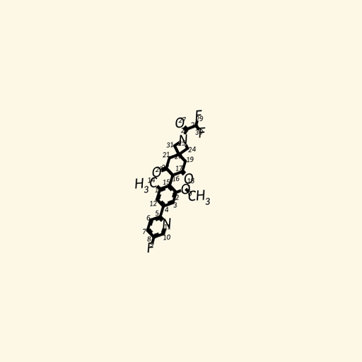 COc1cc(-c2ccc(F)cn2)cc(C)c1C1C(=O)CC2(CC1=O)CN(C(=O)C(F)F)C2